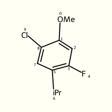 COc1cc(F)c(C(C)C)cc1Cl